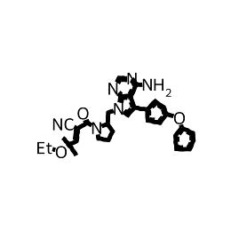 CCOC(C)(C)C=C(C#N)C(=O)N1CCCC1Cn1cc(-c2ccc(Oc3ccccc3)cc2)c2c(N)ncnc21